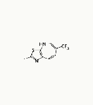 Cc1nc2c(s1)NC=C(C(F)(F)F)C=C2